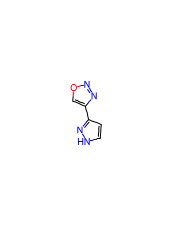 c1cc(-c2conn2)n[nH]1